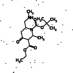 CCOC(=O)C1C(=O)CC(CNC)N(C(=O)OC(C)(C)C)C1C